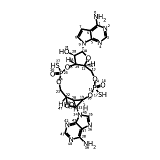 Nc1ncnc2c1ccn2[C@@H]1O[C@@H]2COP(=O)(S)O[C@@H]3[C@H](O)[C@@H](COP(=O)(S)O[C@@H]2[C@H]1O)O[C@H]3n1cnc2c(N)ncnc21